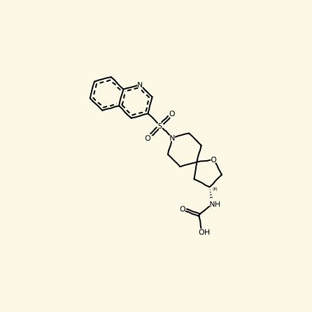 O=C(O)N[C@H]1COC2(CCN(S(=O)(=O)c3cnc4ccccc4c3)CC2)C1